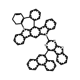 C1=CC2=C(CC1)n1c3ccccc3c3cc4c(c(c31)-c1ccccc12)c1ccccc1n4-c1nc(-c2cc3ccccc3c3ccccc23)c2c(n1)oc1ccccc12